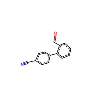 N#Cc1ccc(-c2ccccc2C=O)cc1